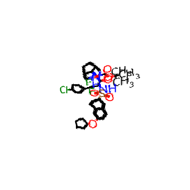 CC(C)(C)OC(=O)NC1C2CCC1CN(C(=O)C(NS(=O)(=O)c1ccc3cc(OC4CCCC4)ccc3c1)C(F)(F)c1ccc(Cl)cc1)C2